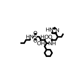 CCCCNS(=O)(=O)CC(O)C(O)C(CC1CCCCC1)NC(=O)CC(CC)c1c[nH]cn1